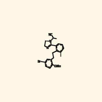 COc1ccc(Br)cc1CCc1c(C)cccc1C1=NCCN1C(C)C#N